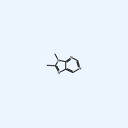 Cc1nc2cncnc2n1C